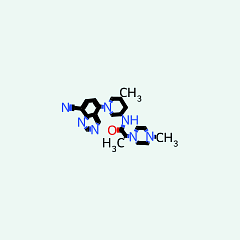 C[C@H]1C[C@@H](NC(=O)[C@@H](C)N2CCN(C)CC2)CN(c2ccc(C#N)c3ncncc23)C1